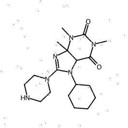 CN1C(=O)C2N(C3CCCCC3)C(N3CCNCC3)=NC2(C)N(C)C1=O